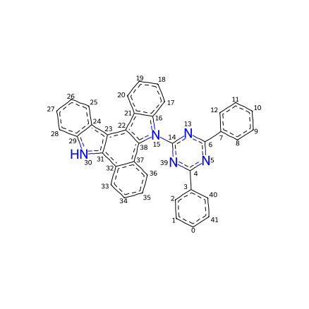 c1ccc(-c2nc(-c3ccccc3)nc(-n3c4ccccc4c4c5c6ccccc6[nH]c5c5ccccc5c43)n2)cc1